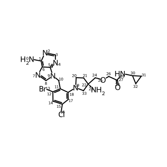 Nc1ncnc2c1ncn2Cc1c(Br)cc(Cl)cc1N1CC[C@](N)(COCC(=O)NC2CC2)C1